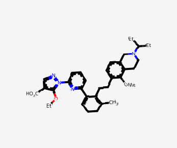 CCOc1c(C(=O)O)cnn1-c1cccc(C2=CCCC(C)=C2CCc2ccc3c(c2OC)CCN(C(CC)CC)C3)n1